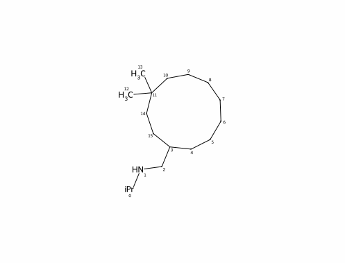 CC(C)NCC1CCCCCCCC(C)(C)CC1